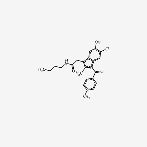 CCCCNC(=O)Cc1c(C)n(C(=O)c2ccc(C)cc2)c2cc(Cl)c(O)cc12